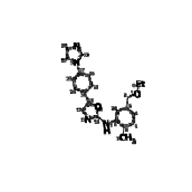 CCOCc1ccc(C)c(Nc2ncc(-c3ccc(-n4ccnc4)cc3)o2)c1